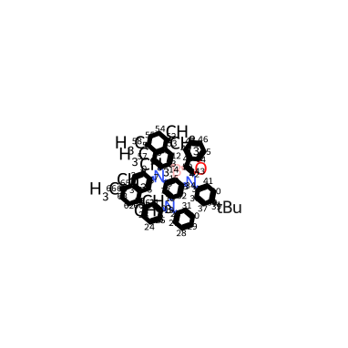 Cc1cc2c(cc1N1c3cc4c(cc3B3c5c1cc(N(c1ccccc1)c1ccccc1)cc5N(c1ccc(C(C)(C)C)cc1)c1oc5ccccc5c13)C(C)(C)CCC4(C)C)C(C)(C)CCC2(C)C